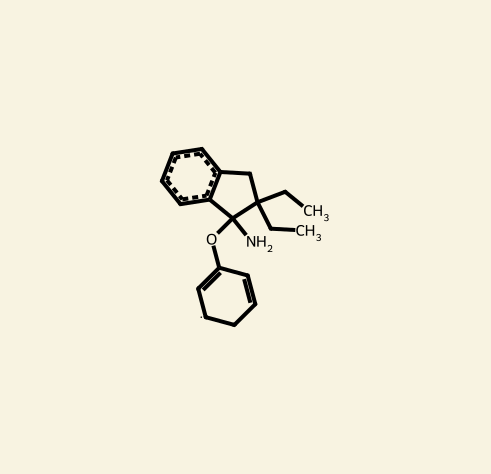 CCC1(CC)Cc2ccccc2C1(N)OC1=C[CH]CC=C1